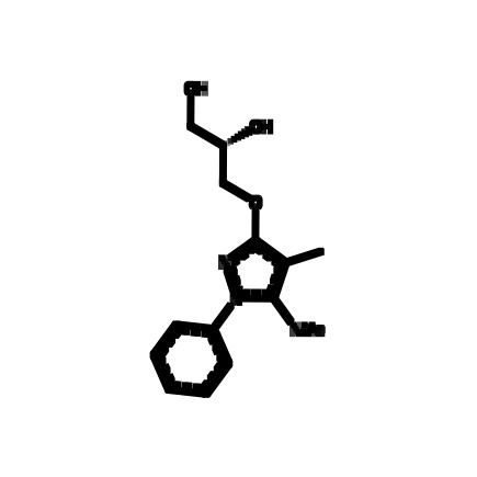 CNc1c(C)c(OC[C@@H](O)CO)nn1-c1ccccc1